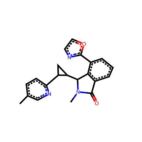 Cc1ccc(C2CC2C2c3c(cccc3-c3ncco3)C(=O)N2C)nc1